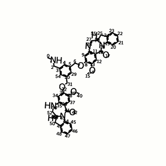 CNCc1cc(COc2cc3c(cc2OC)C(=O)N2c4ccccc4C[C@H]2C=N3)cc(COc2cc3c(cc2OC)C(=O)N2c4ccccc4C[C@H]2CN3)c1